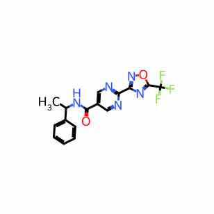 CC(NC(=O)c1cnc(-c2noc(C(F)(F)F)n2)nc1)c1ccccc1